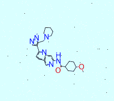 COC1CCC(C(=O)Nc2cc3nc(-c4cnn(C)c4CN4CCCCC4)ccc3cn2)CC1